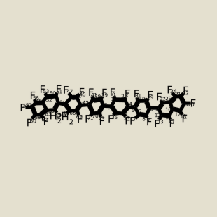 Fc1c(F)c(-c2c(F)c(F)c(-c3c(F)c(F)c4c(F)c(F)c(F)c(F)c4c3F)c(F)c2F)c(F)c(F)c1-c1c(F)c(F)c(-c2c(F)c(F)c(-c3c(F)c(F)c4c(F)c(F)c(F)c(F)c4c3P)c(P)c2F)c(F)c1F